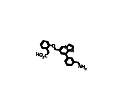 NCc1cccc(-c2cc(COc3ccccc3CC(=O)O)cn3ccnc23)c1